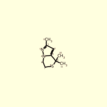 Cc1cc2n(n1)CCSC2(C)C